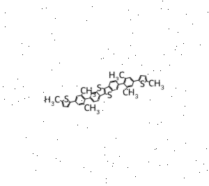 Cc1ccc(-c2cc(C)c(-c3ccc4c(c3)sc3c5ccc(-c6c(C)cc(-c7ccc(C)s7)cc6C)cc5sc43)c(C)c2)s1